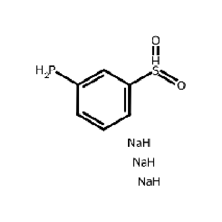 O=[SH](=O)c1cccc(P)c1.[NaH].[NaH].[NaH]